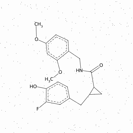 COc1ccc(CNC(=O)C2CC2Cc2ccc(O)c(F)c2)c(OC)c1